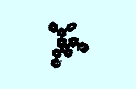 C1=CC(c2cc(-c3ccccc3)cc(-c3ccc4c(-c5cccc(-c6ccccn6)c5)c5ccccc5c(-c5cccc(-c6ccccn6)c5)c4c3)c2)=CCC1